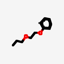 CCCOCCOc1[c]cccc1